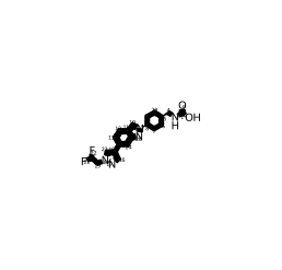 O=C(O)NC[C@H]1CC[C@H](n2cc3ccc(-c4cnn(CC(F)F)c4)cc3n2)CC1